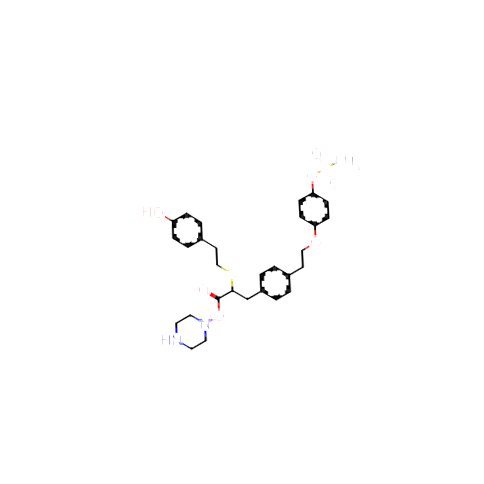 CS(=O)(=O)Oc1ccc(OCCc2ccc(CC(SCCc3ccc(O)cc3)C(=O)ON3CCNCC3)cc2)cc1